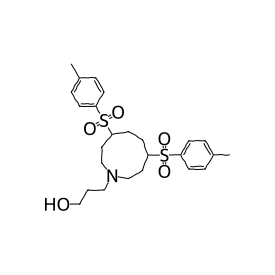 Cc1ccc(S(=O)(=O)C2CCC(S(=O)(=O)c3ccc(C)cc3)CCN(CCCO)CC2)cc1